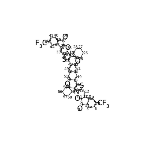 O=C1C(=O)c2ccc(C(F)(F)F)cc2/C1=C/c1nc2c(s1)C1=CC3C=C4OC5(CCCCC5)c5nc(/C=C6\C(=O)C(=O)c7ccc(C(F)(F)F)cc76)sc5C4=CC3C=C1OC21CCCCC1